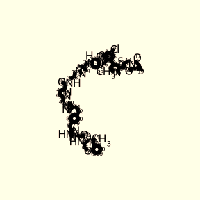 Cc1cc(Cl)cc(-c2ccnc3cc(CN4C(=O)C5CC5C4=O)sc23)c1CN1[C@H](C)CN(Cc2cnn(CCCNC(=O)c3ccc(Cn4cc(/C=C\c5ccc(Cc6nc(C(=O)N[C@H]7COc8ccccc8N(C)C7=O)n[nH]6)cc5)cn4)nn3)c2)C[C@H]1C